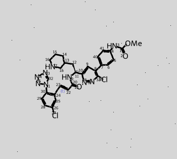 COC(=O)Nc1ccc(-c2cc([C@H](CC3CCCNC3)NC(=O)/C=C/c3cc(Cl)ccc3-n3cnnn3)nnc2Cl)cc1